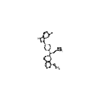 CCCN(C1COc2cccc(OC)c2C1)[C@H]1CC[C@H](c2c[nH]c3ccc(F)cc32)CC1.Cl